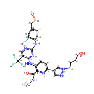 CNC(=O)c1nc(-c2cnn(CCCCO)c2)ccc1Nc1nc(Nc2ccc(CP=O)cc2F)ncc1C(F)(F)F